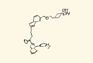 C=C1C=C(C(=O)CCC2=CC3C=C(COCCC4CC(O)(O)C4)C=CC3=C2)C=C2C=CC=CC12